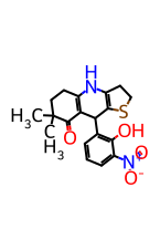 CC1(C)CCC2=C(C1=O)C(c1cccc([N+](=O)[O-])c1O)C1=C(CCS1)N2